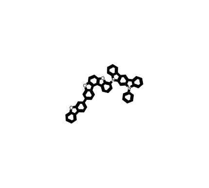 c1ccc(-n2c3ccccc3c3cc4c5ccccc5n(-c5cccc6c5oc5ccc7oc8cc(-c9ccc%10c(c9)oc9ccccc9%10)ccc8c7c56)c4cc32)cc1